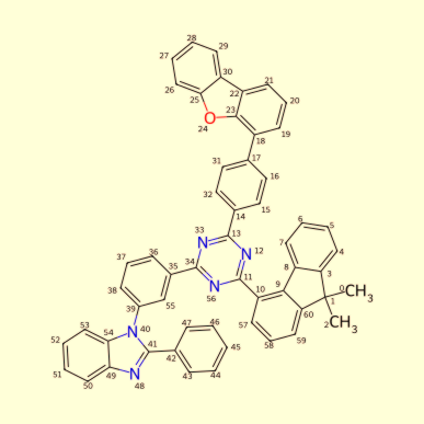 CC1(C)c2ccccc2-c2c(-c3nc(-c4ccc(-c5cccc6c5oc5ccccc56)cc4)nc(-c4cccc(-n5c(-c6ccccc6)nc6ccccc65)c4)n3)cccc21